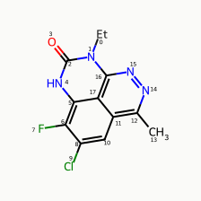 CCN1C(=O)Nc2c(F)c(Cl)cc3c(C)nnc1c23